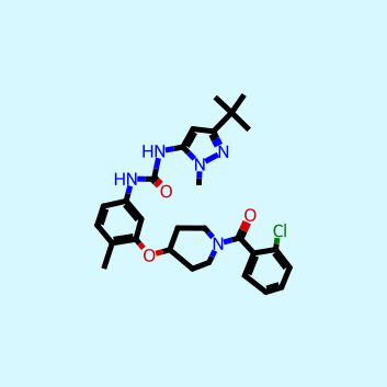 Cc1ccc(NC(=O)Nc2cc(C(C)(C)C)nn2C)cc1OC1CCN(C(=O)c2ccccc2Cl)CC1